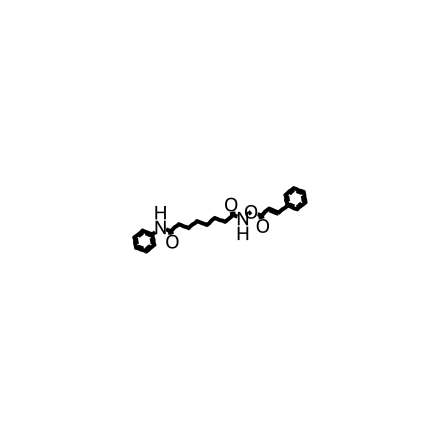 O=C(CCCCCCC(=O)Nc1ccccc1)NOC(=O)C=Cc1ccccc1